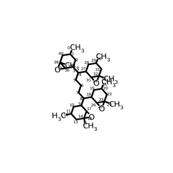 CC1CC(C(CCCC(C2CC(C)CC3(C)OC23)C2CC(C)CC3(C)OC23)C2CC(C)CC3(C)OC23)C2OC2(C)C1